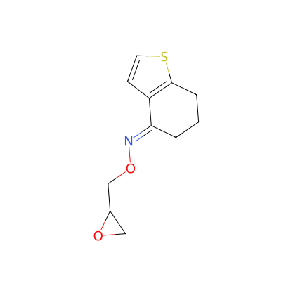 c1cc2c(s1)CCCC2=NOCC1CO1